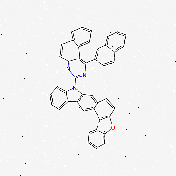 c1ccc2cc(-c3nc(-n4c5ccccc5c5cc6c(ccc7oc8ccccc8c76)cc54)nc4ccc5ccccc5c34)ccc2c1